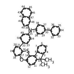 CC1(C)c2ccccc2-c2c1ccc1c2Sc2c(cccc2-c2ccc(N(c3ccc(-c4ccccc4)cc3)c3ccc4ccccc4c3)cc2)O1